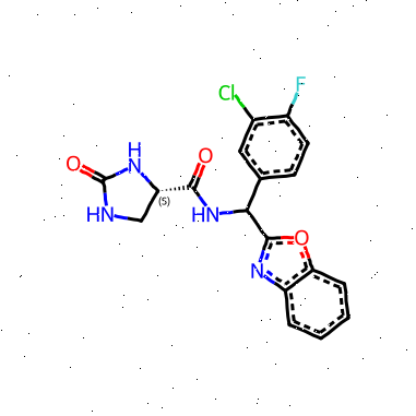 O=C1NC[C@@H](C(=O)NC(c2ccc(F)c(Cl)c2)c2nc3ccccc3o2)N1